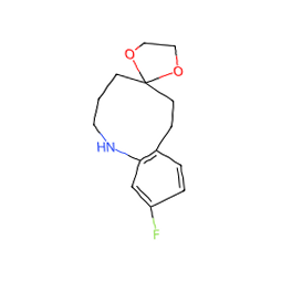 Fc1ccc2c(c1)NCCCC1(CC2)OCCO1